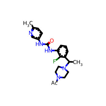 CC(=O)N1CCN(C(C)c2cccc(NC(=O)Nc3ccc(C)nc3)c2F)CC1